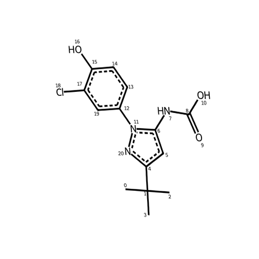 CC(C)(C)c1cc(NC(=O)O)n(-c2ccc(O)c(Cl)c2)n1